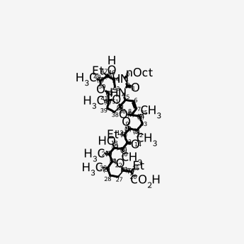 CCCCCCCCNC(=O)NC1C=C[C@]2(O[C@H]([C@@H](CC)C(=O)[C@@H](C)[C@@H](O)[C@H](C)[C@@H]3O[C@@H]([C@@H](CC)C(=O)O)CC[C@@H]3C)[C@@H](C)C[C@H]2C)O[C@@]12CC[C@@](C)([C@H]1CC[C@](O)(CC)[C@H](C)O1)O2